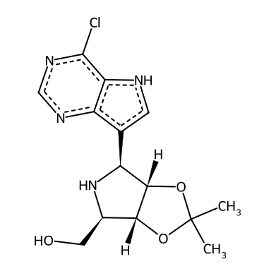 CC1(C)O[C@@H]2[C@H](O1)[C@@H](CO)N[C@H]2c1c[nH]c2c(Cl)ncnc12